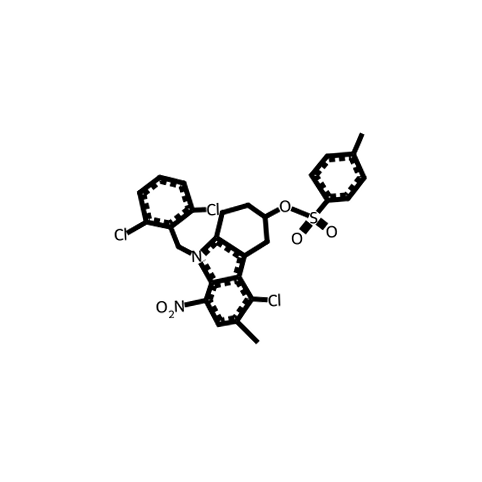 Cc1ccc(S(=O)(=O)OC2CCc3c(c4c(Cl)c(C)cc([N+](=O)[O-])c4n3Cc3c(Cl)cccc3Cl)C2)cc1